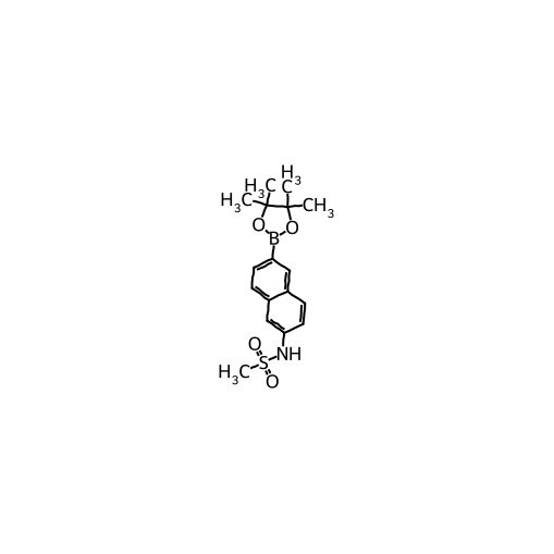 CC1(C)OB(c2ccc3cc(NS(C)(=O)=O)ccc3c2)OC1(C)C